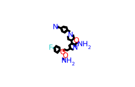 N#Cc1ccc(CN2CCC(c3cc(CCOc4ccc(F)cc4)cnc3C(N)=O)CC2)cc1.NC=O